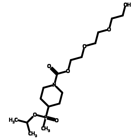 CC(C)OP(C)(=O)C1CCN(C(=O)OCCOCCOCCO)CC1